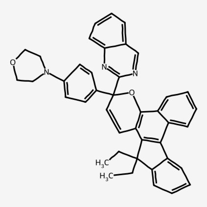 CCC1(CC)c2ccccc2-c2c1c1c(c3ccccc23)OC(c2ccc(N3CCOCC3)cc2)(c2ncc3ccccc3n2)C=C1